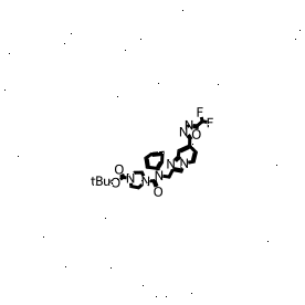 CC(C)(C)OC(=O)N1CCN(C(=O)N(Cc2cn3ccc(-c4nnc(C(F)F)o4)cc3n2)c2ccccc2)CC1